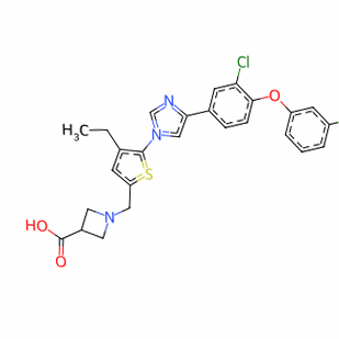 CCc1cc(CN2CC(C(=O)O)C2)sc1-n1cnc(-c2ccc(Oc3cccc(F)c3)c(Cl)c2)c1